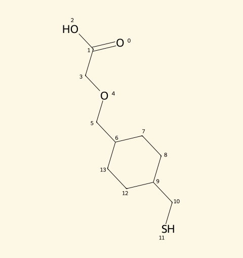 O=C(O)COCC1CCC(CS)CC1